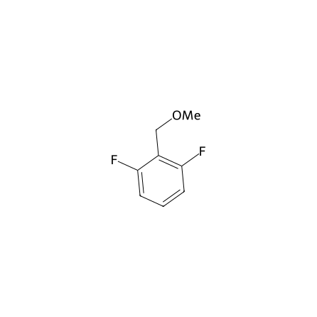 COCc1c(F)cccc1F